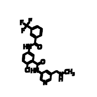 CNCc1cncc(NC(=O)c2cc(NC(=O)c3cccc(C(F)(F)F)c3)ccc2Cl)c1